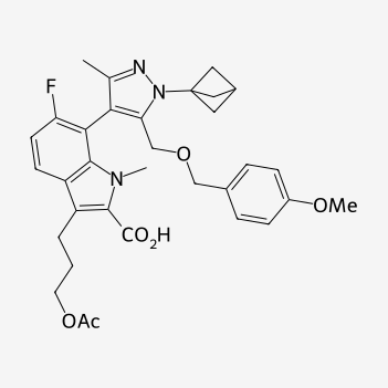 COc1ccc(COCc2c(-c3c(F)ccc4c(CCCOC(C)=O)c(C(=O)O)n(C)c34)c(C)nn2C23CC(C2)C3)cc1